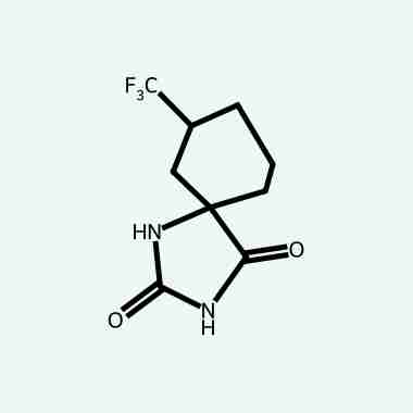 O=C1NC(=O)C2(CCCC(C(F)(F)F)C2)N1